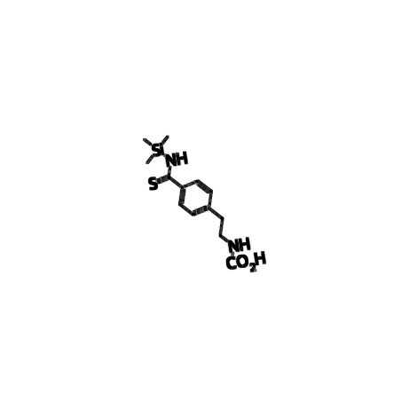 C[Si](C)(C)NC(=S)c1ccc(CCNC(=O)O)cc1